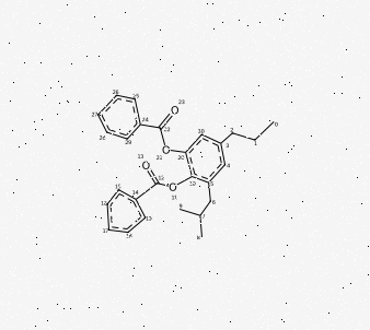 CCCc1cc(CC(C)C)c(OC(=O)c2ccccc2)c(OC(=O)c2ccccc2)c1